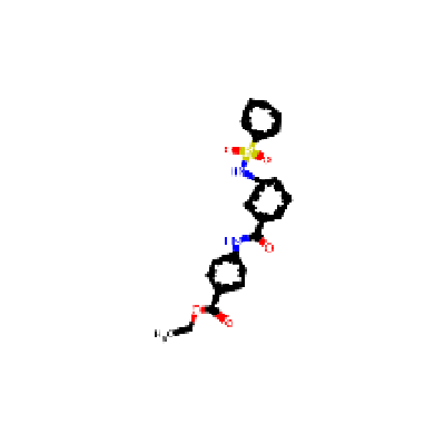 CCOC(=O)c1ccc(NC(=O)c2cccc(NS(=O)(=O)c3ccccc3)c2)cc1